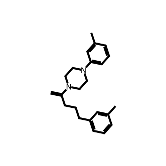 C=C(CCCc1cccc(C)c1)N1CCN(c2cccc(C)c2)CC1